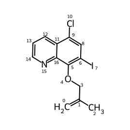 C=C(C)COc1c(I)cc(Cl)c2cccnc12